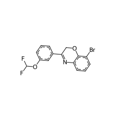 FC(F)Oc1cccc(C2=Nc3cccc(Br)c3OC2)c1